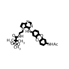 CC(=O)Nc1cccc(Oc2ccc(Nc3ncnc4ccn(CCNC(=O)C(C)(C)S(C)(=O)=O)c34)cc2Cl)c1